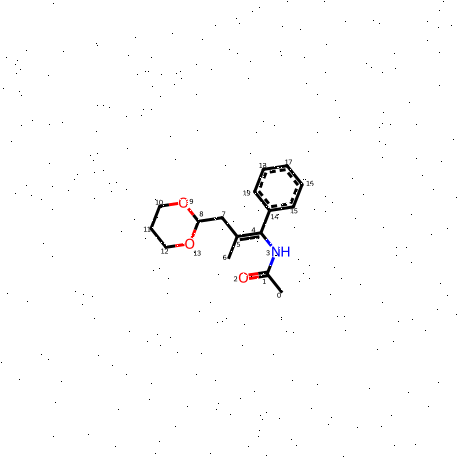 CC(=O)N/C(=C(\C)CC1OCCCO1)c1ccccc1